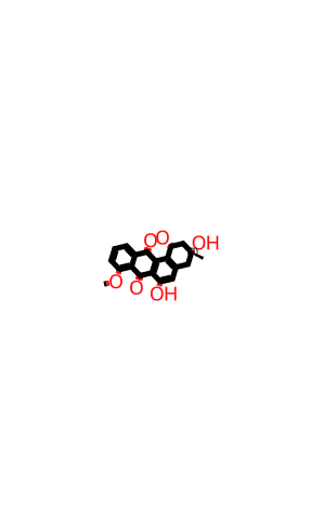 COc1cccc2c1C(=O)c1c(O)cc3c(c1C2=O)C(=O)C[C@](C)(O)C3